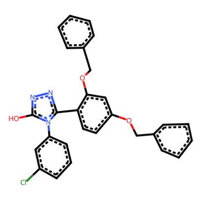 Oc1nnc(-c2ccc(OCc3ccccc3)cc2OCc2ccccc2)n1-c1cccc(Cl)c1